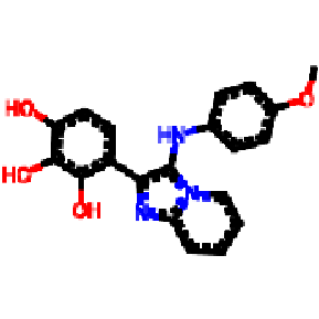 COc1ccc(Nc2c(-c3ccc(O)c(O)c3O)nc3ccccn23)cc1